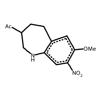 COc1cc2c(cc1[N+](=O)[O-])NCC(C(C)=O)CC2